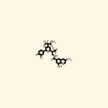 Cc1cnc2c(O)cc(C(=O)NCC(c3cc4c(c(-c5ccc(F)c(Cl)c5)n3)OC[C@]4(C)C(N)=O)C(F)(F)F)cc2c1